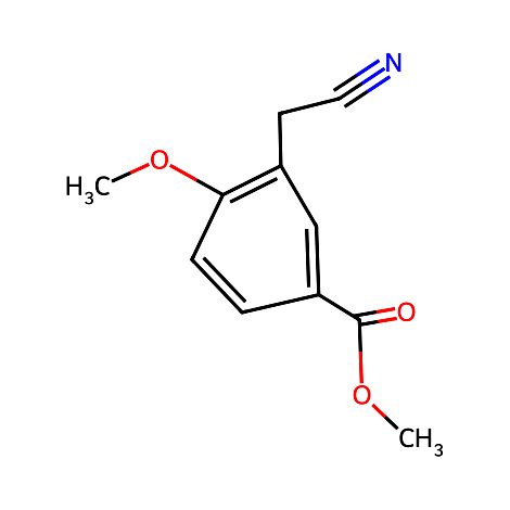 COC(=O)c1ccc(OC)c(CC#N)c1